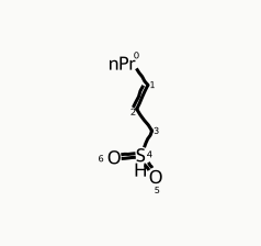 CCCC=CC[SH](=O)=O